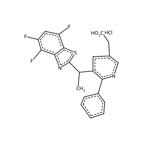 CC(c1nc2c(F)c(F)cc(F)c2s1)c1cc(CC(=O)O)cnc1-c1ccccc1.Cl